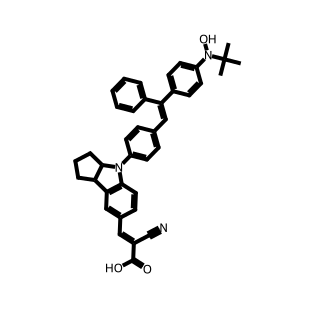 CC(C)(C)N(O)c1ccc(/C(=C/c2ccc(N3c4ccc(/C=C(\C#N)C(=O)O)cc4C4CCCC43)cc2)c2ccccc2)cc1